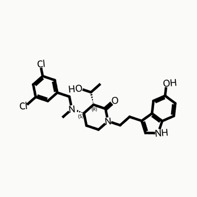 CC(O)[C@@H]1C(=O)N(CCc2c[nH]c3ccc(O)cc23)CC[C@@H]1N(C)Cc1cc(Cl)cc(Cl)c1